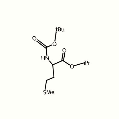 CSCCC(NC(=O)OC(C)(C)C)C(=O)OC(C)C